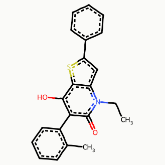 CCn1c(=O)c(-c2ccccc2C)c(O)c2sc(-c3ccccc3)cc21